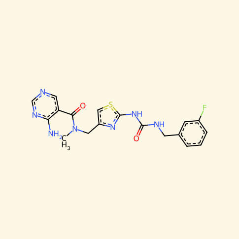 CN(Cc1csc(NC(=O)NCc2cccc(F)c2)n1)C(=O)c1cncnc1N